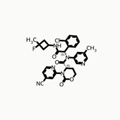 Cc1cncc(N(C(=O)[C@@H]2CCOC(=O)N2c2cc(C#N)ccn2)[C@H](C(=O)NC2CC(C)(F)C2)c2ccccc2Cl)c1